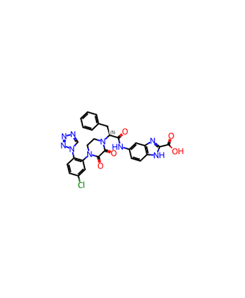 O=C(O)c1nc2cc(NC(=O)[C@H](Cc3ccccc3)N3CCN(c4cc(Cl)ccc4-n4cnnn4)C(=O)C3=O)ccc2[nH]1